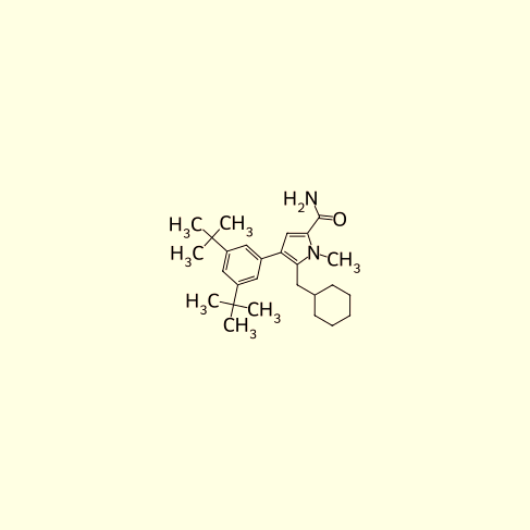 Cn1c(C(N)=O)cc(-c2cc(C(C)(C)C)cc(C(C)(C)C)c2)c1CC1CCCCC1